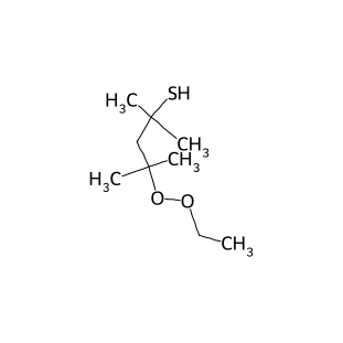 CCOOC(C)(C)CC(C)(C)S